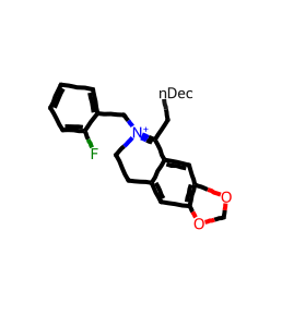 CCCCCCCCCCCC1=[N+](Cc2ccccc2F)CCc2cc3c(cc21)OCO3